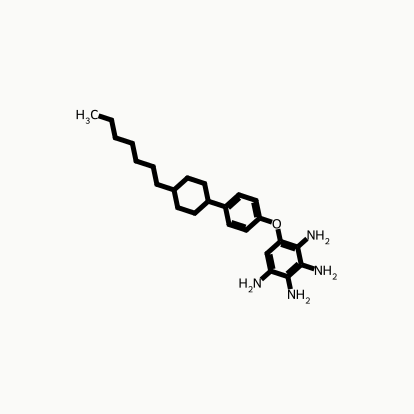 CCCCCCCC1CCC(c2ccc(Oc3cc(N)c(N)c(N)c3N)cc2)CC1